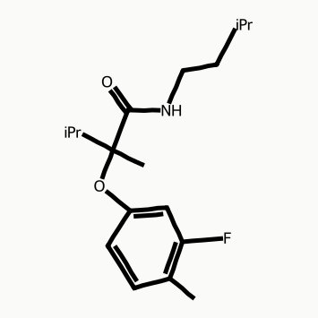 Cc1ccc(OC(C)(C(=O)NCCC(C)C)C(C)C)cc1F